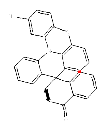 N#Cc1ccc2c(c1)N1c3ccccc3C3(c4ccccc4C(=O)c4ccccc43)c3cccc(c31)S2